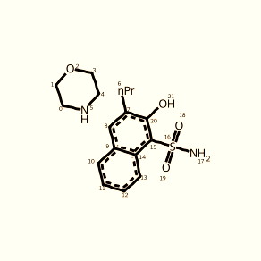 C1COCCN1.CCCc1cc2ccccc2c(S(N)(=O)=O)c1O